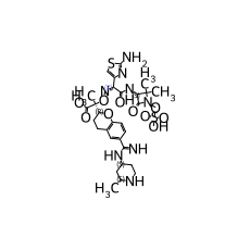 C[C@H]1C[C@@H](NC(=N)c2ccc3c(c2)CC[C@H](C(C)(O/N=C(\C(=O)N[C@@H]2C(=O)N(OS(=O)(=O)O)C2(C)C)c2csc(N)n2)C(=O)O)O3)CCN1